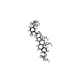 C=C[C@]12CC[C@@]3(C)C(C[C@@H](OC(=O)c4cc(S(N)(=O)=O)ccc4Cl)[C@@H]3F)C1CCc1cc(OC(C)=O)ccc12